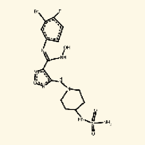 NS(=O)(=O)NC1CCN(Nc2nonc2C(=Nc2ccc(F)c(Br)c2)NO)CC1